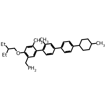 CCC(CC)COc1cc(C)c(-c2ccc(-c3ccc(C4CCC(C)CC4)cc3)cc2C)cc1CP